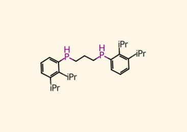 CC(C)c1cccc(PCCCPc2cccc(C(C)C)c2C(C)C)c1C(C)C